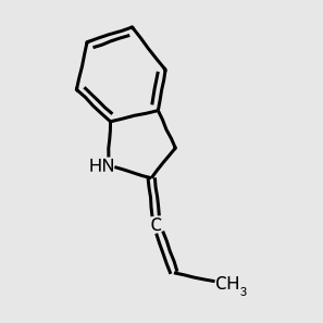 CC=C=C1Cc2ccccc2N1